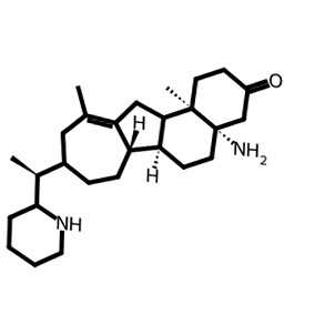 CC1=C2CC3[C@@H](CC[C@]4(N)CC(=O)CC[C@]34C)[C@@H]2CCC([C@H](C)C2CCCCN2)C1